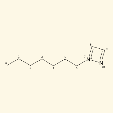 CCCCCCC[N+]1=CC=N1